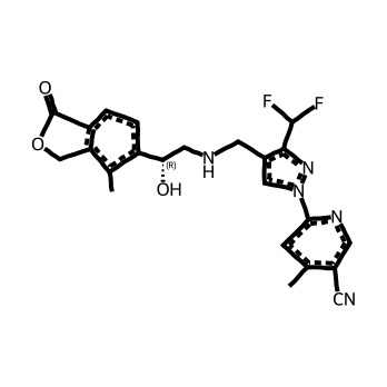 Cc1cc(-n2cc(CNC[C@H](O)c3ccc4c(c3C)COC4=O)c(C(F)F)n2)ncc1C#N